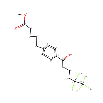 COC(=O)CCCCc1ccc(C(=O)CCCC(F)(F)C(F)(F)F)cc1